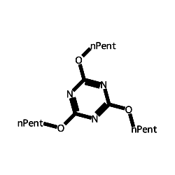 CCCCCOc1nc(OCCCCC)nc(OCCCCC)n1